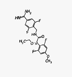 CCO[C@H](C(=O)NCc1c(F)cc(C(=N)N)cc1F)c1c(F)cc(OC)cc1F